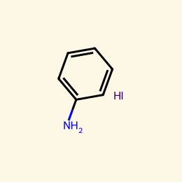 I.Nc1ccccc1